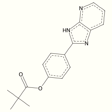 CC(C)(C)C(=O)Oc1ccc(-c2nc3cccnc3[nH]2)cc1